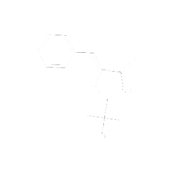 CCCCC(Cl)(Cl)C1NC(=O)C(=Cc2ccccc2)O1